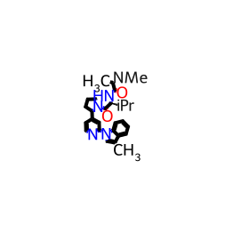 CNC(C)C(=O)N[C@H](C(=O)N1CCCC1c1ccnc(-n2cc(C)c3ccccc32)c1)C(C)C